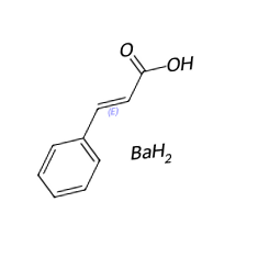 O=C(O)/C=C/c1ccccc1.[BaH2]